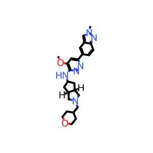 COc1cc(-c2ccc3nn(C)cc3c2)nnc1NC1C[C@@H]2CN(CC3CCOCC3)C[C@@H]2C1